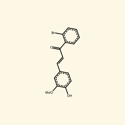 COc1cc(C=CC(=O)c2ccccc2Br)ccc1O